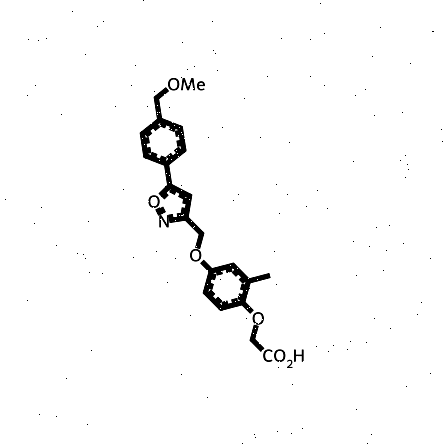 COCc1ccc(-c2cc(COc3ccc(OCC(=O)O)c(C)c3)no2)cc1